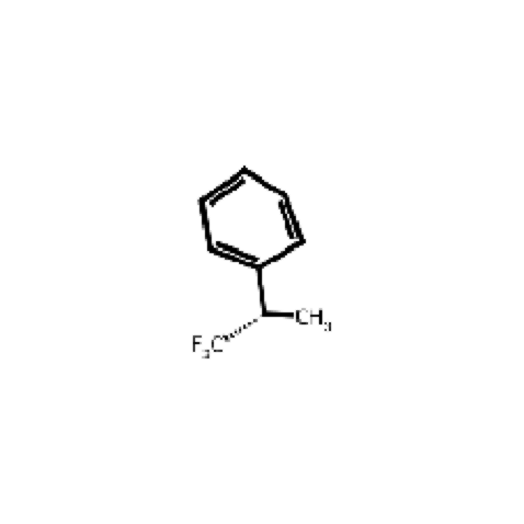 C[C@@H](c1cc[c]cc1)C(F)(F)F